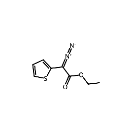 CCOC(=O)C(=[N+]=[N-])c1cccs1